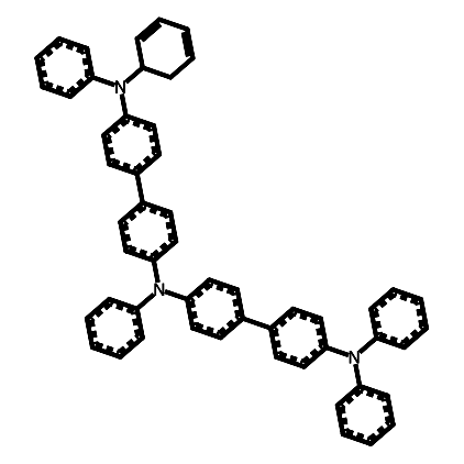 C1=CCC(N(c2ccccc2)c2ccc(-c3ccc(N(c4ccccc4)c4ccc(-c5ccc(N(c6ccccc6)c6ccccc6)cc5)cc4)cc3)cc2)C=C1